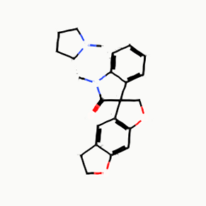 O=C(O)N1CCC[C@H]1CN1C(=O)C2(COc3cc4c(cc32)CCO4)c2ccccc21